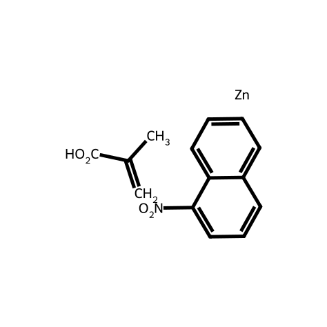 C=C(C)C(=O)O.O=[N+]([O-])c1cccc2ccccc12.[Zn]